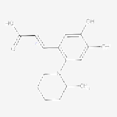 CC1CCCCN1c1cc(O)c(O)cc1/C=C/C(=O)O